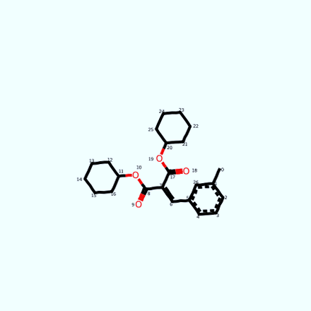 Cc1cccc(C=C(C(=O)OC2CCCCC2)C(=O)OC2CCCCC2)c1